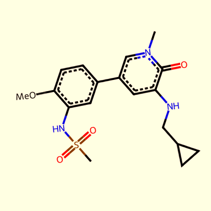 COc1ccc(-c2cc(NCC3CC3)c(=O)n(C)c2)cc1NS(C)(=O)=O